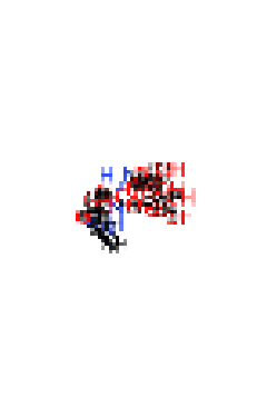 CC[C@@]1(OC(=O)NCCOCCO[C@H]2O[C@@H](CO)[C@@H](O)[C@H](O)[C@@H]2O[C@H]2O[C@H](CO)[C@@H](O)[C@H](OC(N)=O)[C@@H]2O)C(=O)OCc2c1cc1n(c2=O)Cc2cc3ccccc3nc2-1